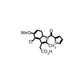 COC1=CCC2C(=C1Cl)C(CC(=O)O)=C(C)N2C(=O)c1cccs1